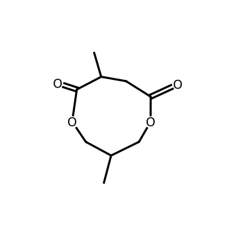 CC1COC(=O)CC(C)C(=O)OC1